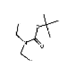 [CH2]CN(C[CH2])C(=O)OC(C)(C)C